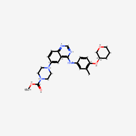 Cc1cc(Nc2ncnc3ccc(N4CCN(C(=O)OC(C)(C)C)CC4)cc23)ccc1O[C@@H]1CCCOC1